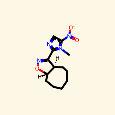 Cn1c([N+](=O)[O-])cnc1C1=NO[C@H]2CCCCCC[C@H]12